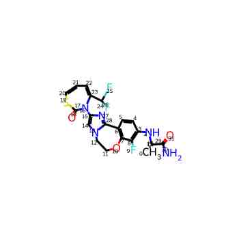 C[C@H](Nc1ccc2c(c1F)OCCn1cc(N3C(=O)SC=CC=C3C(F)F)nc1-2)C(N)=O